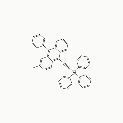 Cc1ccc2c(C#C[Si](c3ccccc3)(c3ccccc3)c3ccccc3)c3ccccc3c(-c3ccccc3)c2c1